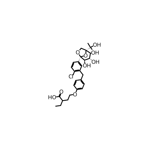 CCC(CCOc1ccc(Cc2cc([C@]34OC[C@](C(C)(C)O)(O3)[C@@H](O)[C@H](O)[C@H]4O)ccc2Cl)cc1)C(=O)O